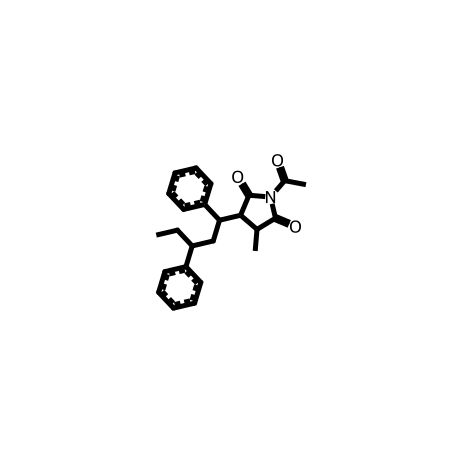 CCC(CC(c1ccccc1)C1C(=O)N(C(C)=O)C(=O)C1C)c1ccccc1